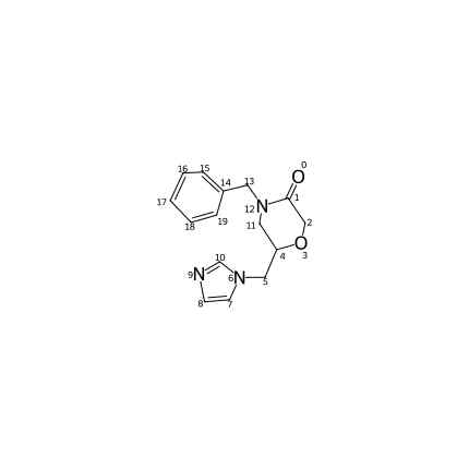 O=C1COC(Cn2ccnc2)CN1Cc1ccccc1